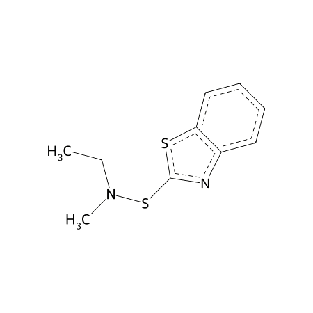 CCN(C)Sc1nc2ccccc2s1